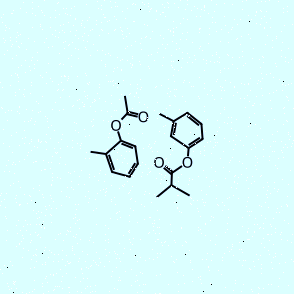 CC(=O)Oc1ccccc1C.Cc1cccc(OC(=O)C(C)C)c1